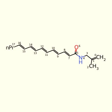 C=C(C)CNC(=O)C=CC=CC=CC=CC=CCCC